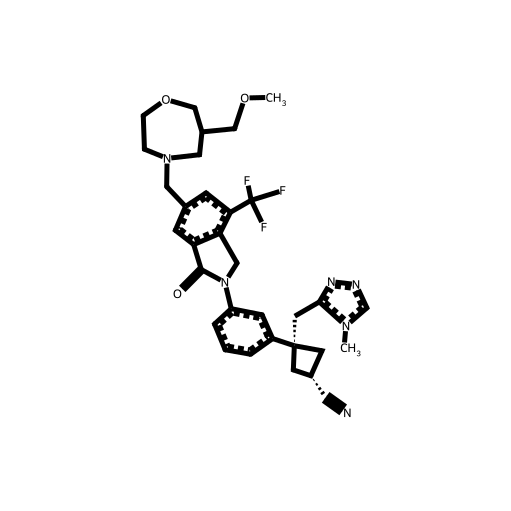 COCC1COCCN(Cc2cc3c(c(C(F)(F)F)c2)CN(c2cccc([C@]4(Cc5nncn5C)C[C@@H](C#N)C4)c2)C3=O)C1